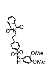 COc1ccc(NS(=O)(=O)c2ccc(CCN3C(=O)c4ccccc4C3=O)cc2)cc1OC